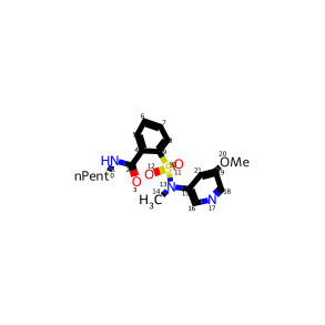 CCCCCNC(=O)c1ccccc1S(=O)(=O)N(C)c1cncc(OC)c1